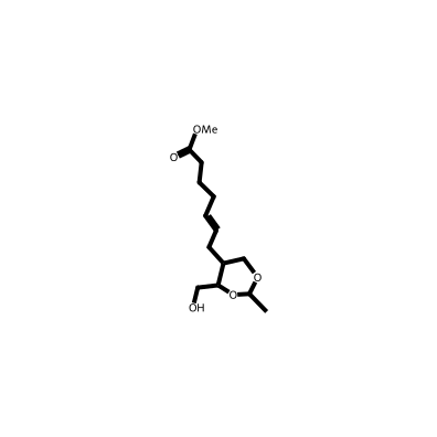 COC(=O)CCCC=CCC1COC(C)OC1CO